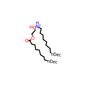 CCCCCCCCCCCCCCCCCC(=O)OCCO.CCCCCCCCCCCCCCCCCCN